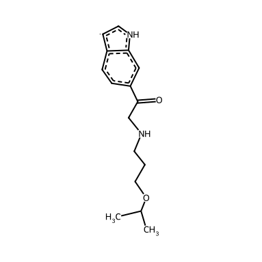 CC(C)OCCCNCC(=O)c1ccc2[c]c[nH]c2c1